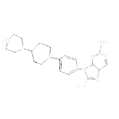 Nc1ncc2nc(N)n(-c3ccc(N4CCC(N5CCNCC5)CC4)cc3)c2n1